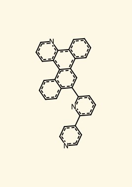 c1cc(-c2ccncc2)nc(-c2cc3c4ccccc4c4ncccc4c3c3ccccc23)c1